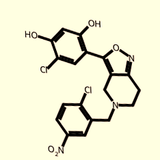 O=[N+]([O-])c1ccc(Cl)c(CN2CCc3noc(-c4cc(Cl)c(O)cc4O)c3C2)c1